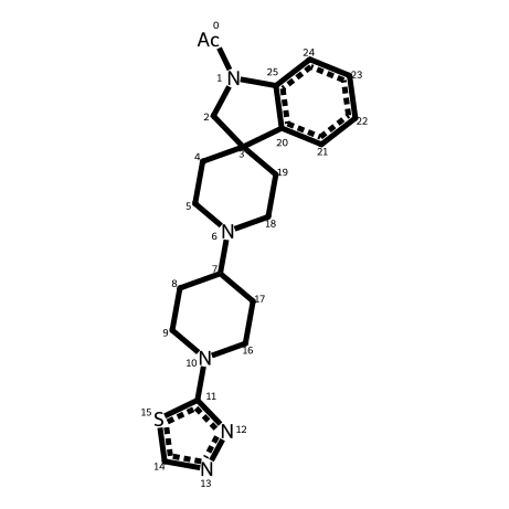 CC(=O)N1CC2(CCN(C3CCN(c4nncs4)CC3)CC2)c2ccccc21